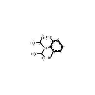 CC(C)[SiH](c1c(O)cccc1Br)C(C)C